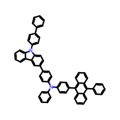 c1ccc(-c2ccc(-n3c4ccccc4c4cc(-c5ccc(N(c6ccccc6)c6ccc(-c7c8ccccc8c(-c8ccccc8)c8ccccc78)cc6)cc5)ccc43)cc2)cc1